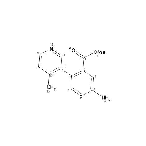 COC(=O)c1cc(N)ccc1-c1cnccc1C